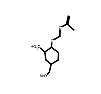 C=C(C)OCOC1CCC(COC(C)=O)CC1C(=O)O